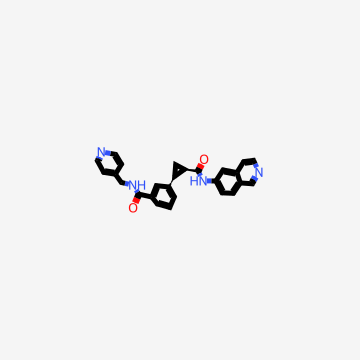 O=C(NCc1ccncc1)c1cccc([C@@H]2C[C@H]2C(=O)Nc2ccc3cnccc3c2)c1